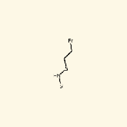 CCCCSNS